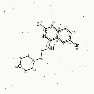 Clc1nc(NCCN2CCOCC2)c2cc(Br)ccc2n1